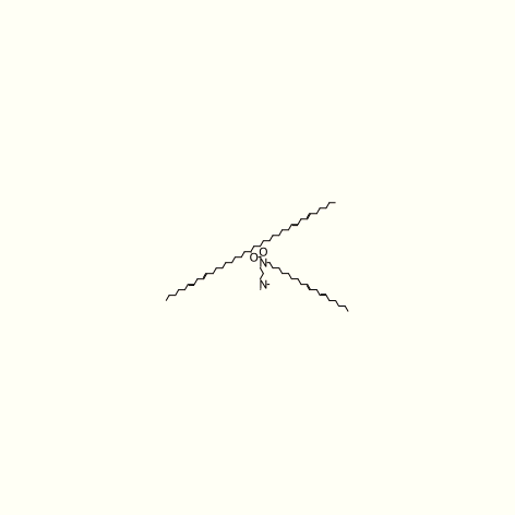 CCCCCC=CCC=CCCCCCCCCC(CCCCCCCCC=CCC=CCCCCC)OC(=O)N(CCCCCCCCC=CCC=CCCCCC)CCCN(C)C